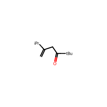 C=C(CC(=O)C(C)(C)C)C(C)C